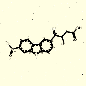 O=C(O)CC(F)C(=O)c1ccc2oc3cc([N+](=O)[O-])ccc3c2c1